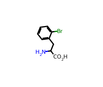 NC(Cc1ccccc1Br)C(=O)O